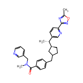 Cc1nc(-c2ccc([C@@H](C)[C@H]3CCC(Cc4ccc(C(=O)N(C)Cc5cccnc5)cc4)C3)cn2)no1